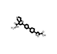 NNC(=O)c1cc(-c2ccc(-c3ccc(-c4cc(C(=O)O)on4)cc3)cc2)nc2ccncc12